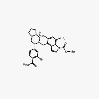 COC(=O)c1ccc([C@@H]2CN3CCC[C@H]3CN2Cc2c(OC)cc(C)c3c2ccn3C(=O)OC(C)(C)C)cc1Br